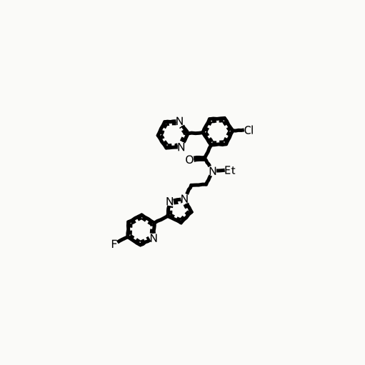 CCN(CCn1ccc(-c2ccc(F)cn2)n1)C(=O)c1cc(Cl)ccc1-c1ncccn1